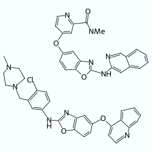 CN1CCN(Cc2cc(Nc3nc4cc(Oc5ccnc6ccccc56)ccc4o3)ccc2Cl)CC1.CNC(=O)c1cc(Oc2ccc3oc(Nc4cc5ccccc5cn4)nc3c2)ccn1